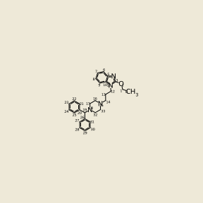 CCOc1nc2ccccc2n1CCCN1CCN(C(c2ccccc2)c2ccccc2)CC1